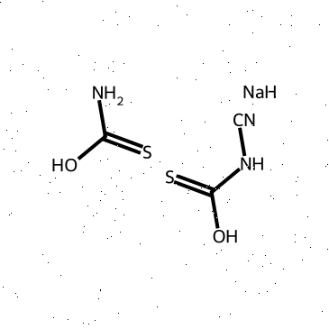 N#CNC(O)=S.NC(O)=S.[NaH]